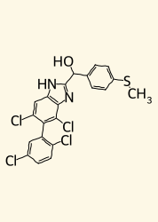 CSc1ccc(C(O)c2nc3c(Cl)c(-c4cc(Cl)ccc4Cl)c(Cl)cc3[nH]2)cc1